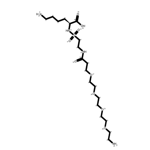 NCCCC[C@H](NS(=O)(=O)CCNC(=O)CCOCCOCCOCCOCCN)C(=O)O